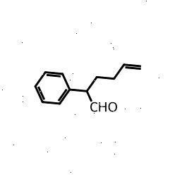 C=CCCC(C=O)c1ccccc1